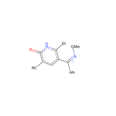 CCC/C(=N/OC)c1cc(C#N)c(=O)[nH]c1CC